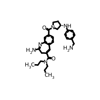 CCCN(CCC)C(=O)C1=Cc2ccc(C(=O)N3CC[C@H](Nc4ccc(CN)cc4)C3)cc2N=C(N)C1